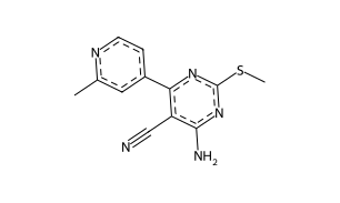 CSc1nc(N)c(C#N)c(-c2ccnc(C)c2)n1